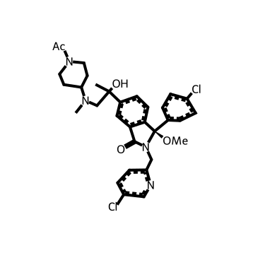 CO[C@]1(c2ccc(Cl)cc2)c2ccc(C(C)(O)CN(C)C3CCN(C(C)=O)CC3)cc2C(=O)N1Cc1ccc(Cl)cn1